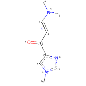 CN(C)/C=C/C(=O)c1cn(C)cn1